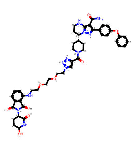 NC(=O)c1c(-c2ccc(Oc3ccccc3)cc2)nn2c1NCC[C@H]2C1CCN(C(=O)c2cn(CCOCCOCCNc3cccc4c3C(=O)N(C3CCC(O)NC3=O)C4=O)nn2)CC1